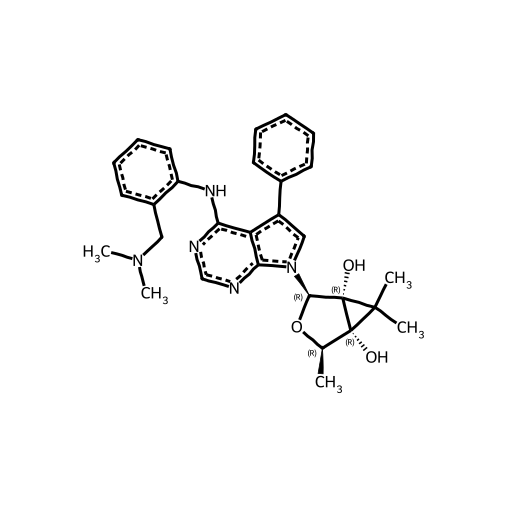 C[C@H]1O[C@@H](n2cc(-c3ccccc3)c3c(Nc4ccccc4CN(C)C)ncnc32)[C@@]2(O)C(C)(C)[C@@]12O